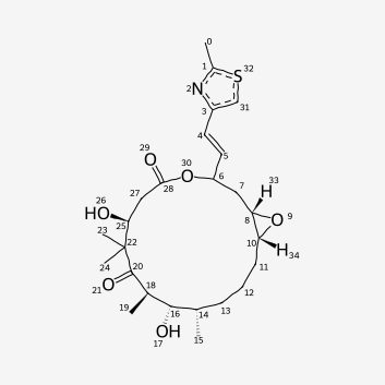 Cc1nc(/C=C/C2C[C@@H]3O[C@@H]3CCC[C@H](C)[C@H](O)[C@@H](C)C(=O)C(C)(C)[C@@H](O)CC(=O)O2)cs1